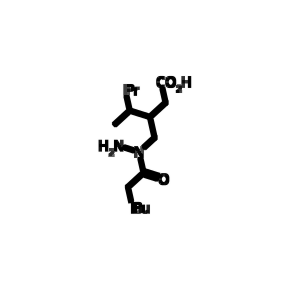 CCC(C)CC(=O)N(N)CC(CC(=O)O)C(C)C(C)C